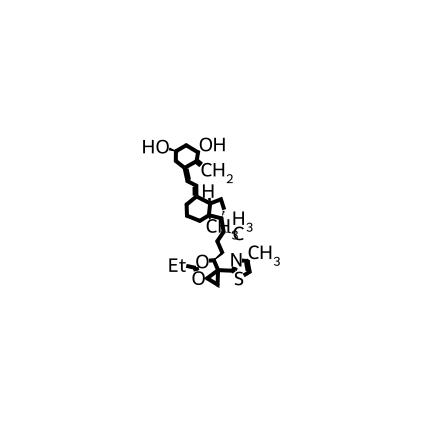 C=C1/C(=C\C=C2/CCC[C@]3(C)[C@@H]([C@H](C)CC[C@H](OC(=O)CC)C4(c5nc(C)cs5)CC4)CC[C@@H]23)C[C@@H](O)C[C@@H]1O